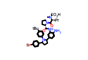 CC(C)[C@@H](C(=O)N1CCC[C@H]1C(=O)Nc1cc(C2CCC(c3ccc(Br)cc3)N2c2ccc(C(C)(C)C)cc2)ccc1N)N(C)C(=O)O